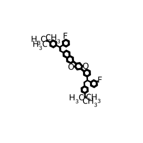 CC(C)(C)c1ccc(CC(c2cccc(F)c2)c2ccc3oc4cc5c(cc4c3c2)oc2cc3cc(/C=C(/c4ccc(C(C)(C)C)cc4)c4cccc(F)c4)ccc3cc25)cc1